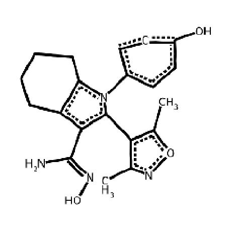 Cc1noc(C)c1-c1c(/C(N)=N/O)c2c(n1-c1ccc(O)cc1)CCCC2